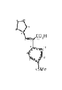 CSc1ccc(C(=CC2CCCC2)C(=O)O)nc1